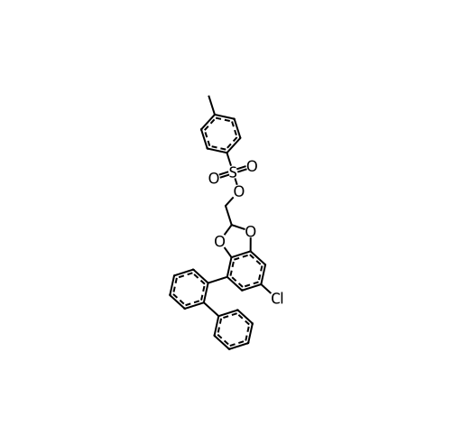 Cc1ccc(S(=O)(=O)OCC2Oc3cc(Cl)cc(-c4ccccc4-c4ccccc4)c3O2)cc1